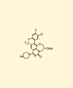 COC1CSc2c(-c3cc(Cl)c(F)cc3F)c(C(F)(F)F)cc3c(N4CCNCC4)nc(=O)n(c23)C1